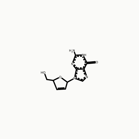 Nc1nc2c(ncn2C2C=CC(CO)O2)c(=O)[nH]1